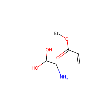 C=CC(=O)OCC.NCC(O)O